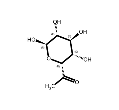 CC(=O)[C@@H]1O[C@@H](O)[C@H](O)[C@@H](O)[C@@H]1O